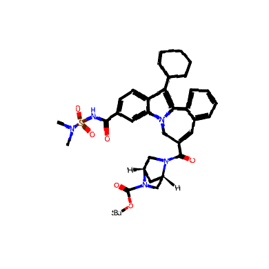 CN(C)S(=O)(=O)NC(=O)c1ccc2c(C3CCCCC3)c3n(c2c1)CC(C(=O)N1C[C@@H]2C[C@H]1CN2C(=O)OC(C)(C)C)=Cc1ccccc1-3